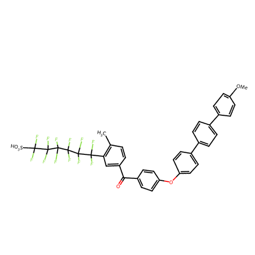 COc1ccc(-c2ccc(-c3ccc(Oc4ccc(C(=O)c5ccc(C)c(C(F)(F)C(F)(F)C(F)(F)C(F)(F)C(F)(F)C(F)(F)S(=O)(=O)O)c5)cc4)cc3)cc2)cc1